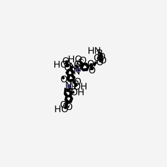 COc1c(/N=N/c2ccc3cc(S(=O)(=O)O)ccc3c2O)c(S(=O)(=O)O)cc2c(/N=N/c3ccc(S(=O)(=O)CCOS(=O)(=O)OB=N)cc3S(=O)(=O)O)c(NCS(=O)(=O)O)ccc12